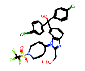 O=S(=O)(N1CCC(n2c(CO)nc3ccc(C(O)(c4ccc(Cl)cc4)c4ccc(Cl)cc4)cc32)CC1)C(F)(F)F